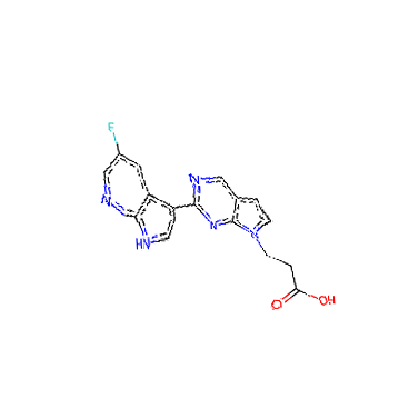 O=C(O)CCn1ccc2cnc(-c3c[nH]c4ncc(F)cc34)nc21